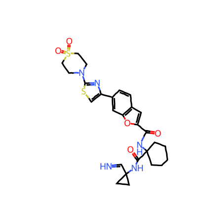 N=CC1(NC(=O)C2(NC(=O)c3cc4ccc(-c5csc(N6CCS(=O)(=O)CC6)n5)cc4o3)CCCCC2)CC1